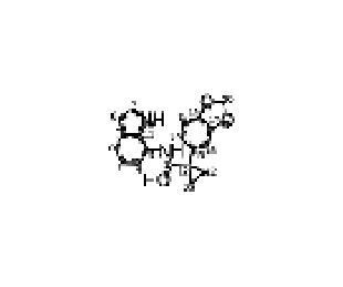 OC(Nc1cccc2cc[nH]c12)C1(c2ccc3c(c2)OCO3)CC1